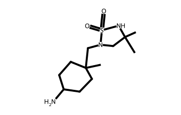 CC1(CN2CC(C)(C)NS2(=O)=O)CCC(N)CC1